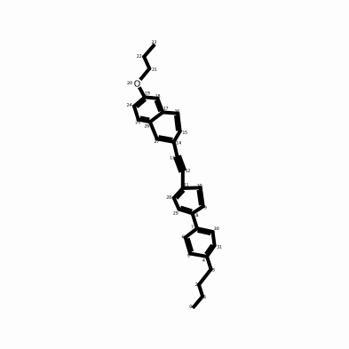 CCCCc1ccc(-c2ccc(C#Cc3ccc4cc(OCCC)ccc4c3)cc2)cc1